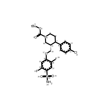 CC(C)(C)OC(=O)N1CCC(c2ccc(Cl)cc2)[C@H](COc2cc(F)c(S(N)(=O)=O)cc2F)C1